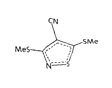 CSc1nsc(SC)c1C#N